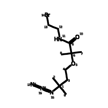 CC(C)(CCOC(C)(C)C(=O)NCCBr)N=[N+]=[N-]